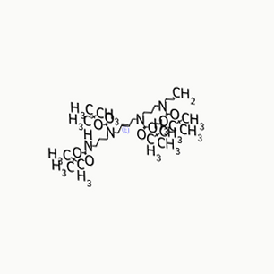 C=CCN(CCCN(C/C=C/CN(CCCNC(=O)OC(C)(C)C)C(=O)OC(C)(C)C)C(=O)OC(C)(C)C)C(=O)OC(C)(C)C